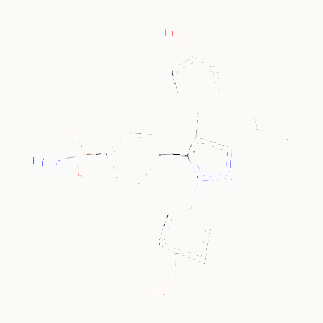 NS(=O)(=O)c1ccc(-c2c(-c3ccc(O)cc3)c(C(F)F)nn2-c2ccc(O)cc2)cc1